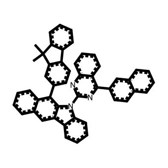 CC1(C)c2ccccc2-c2ccc(-c3c4ccccc4cc4c5ccccc5n(-c5nc(-c6ccc7ccccc7c6)c6ccccc6n5)c34)cc21